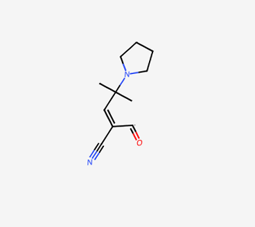 CC(C)(C=C([C]=O)C#N)N1CCCC1